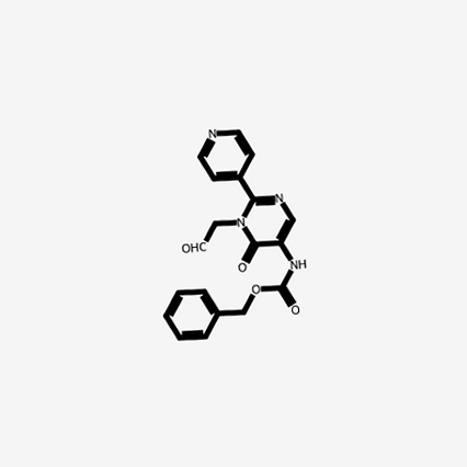 O=CCn1c(-c2ccncc2)ncc(NC(=O)OCc2ccccc2)c1=O